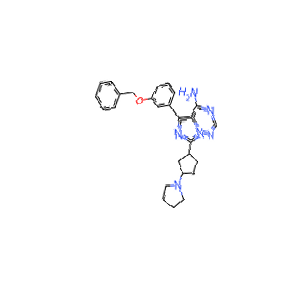 Nc1ncnn2c(C3CCC(N4CCCC4)C3)nc(-c3cccc(OCc4ccccc4)c3)c12